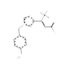 COc1ccc(Cn2cnc(C(=CC(=O)O)C(C)(C)C)c2)cc1